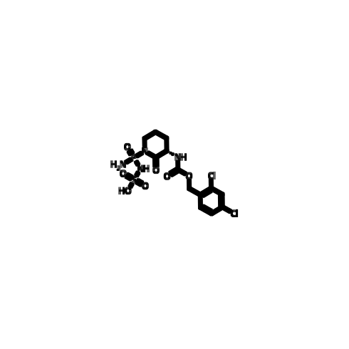 NP(=O)(NS(=O)(=O)O)N1CCC[C@H](NC(=O)OCc2ccc(Cl)cc2Cl)C1=O